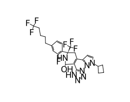 OC1N[C@@](c2ccc(CCCCC(F)(F)F)cc2F)(C(F)(F)F)CC(c2ccn(C3CCC3)n2)=C1c1nnn[nH]1